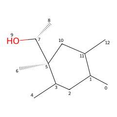 CC1CC(C)[C@@](C)([C@@H](C)O)CC1C